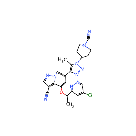 Cc1c(-c2cc(OC(C)c3cc(Cl)cnn3)c3c(C#N)cnn3c2)nnn1C1CCN(C#N)CC1